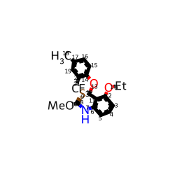 CCOc1cccc(NC(=S)OC)c1COc1ccc(C)cc1C(F)(F)F